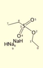 CCOS(=O)(=O)CC.[NaH].[NaH]